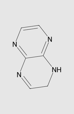 C1=Nc2nccnc2NC1